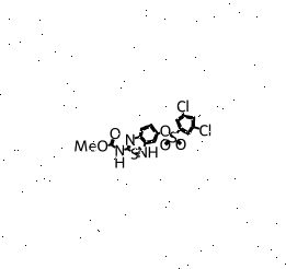 COC(=O)NC1=Nc2ccc(OS(=O)(=O)c3cc(Cl)cc(Cl)c3)cc2NS1